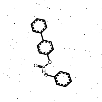 O=[PH](Oc1ccccc1)Oc1ccc(-c2ccccc2)cc1